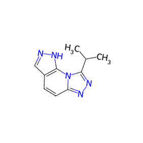 CC(C)c1nnc2ccc3cn[nH]c3n12